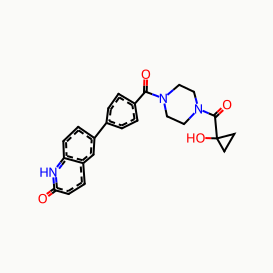 O=C(c1ccc(-c2ccc3[nH]c(=O)ccc3c2)cc1)N1CCN(C(=O)C2(O)CC2)CC1